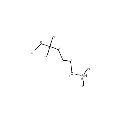 C[SiH](C)OCCCC(C)(C)CI